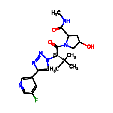 CNC(=O)C1CC(O)CN1C(=O)[C@@H](n1cc(-c2cncc(F)c2)nn1)C(C)(C)C